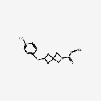 CC(C)(C)OC(=O)N1CC2(CC(Oc3ccc(C(F)(F)F)cc3)C2)C1